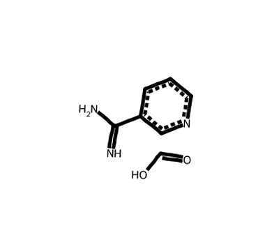 N=C(N)c1cccnc1.O=CO